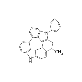 CC1Cc2c3c4c(cccc4n2-c2ccccc2)-c2cccc4c2C2C(=CC=C1C32)N4